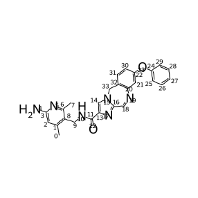 Cc1cc(N)nc(C)c1CNC(=O)c1cn2c(n1)C=Nc1cc(Oc3ccccc3)ccc1C2